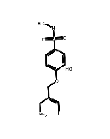 CNS(=O)(=O)c1ccc(OCC(=CF)CN)cc1.Cl